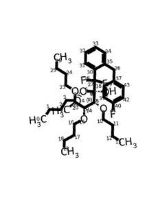 CCCCOO[C@](O)([C@H](OCCCC)[C@@H](OCCCC)[C@@H](C)OCCCC)C(F)(F)c1ccccc1Cc1ccc(F)cc1